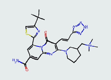 CC(C)(C)c1csc(-c2cc(C(N)=O)cc3nc(N4CCCC(C[N+](C)(C)C)C4)c(C=Cc4nn[nH]n4)c(=O)n23)n1